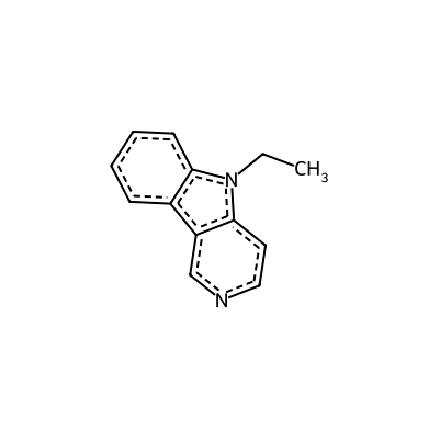 CCn1c2ccccc2c2cnccc21